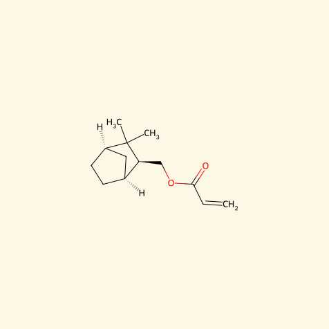 C=CC(=O)OC[C@H]1[C@H]2CC[C@H](C2)C1(C)C